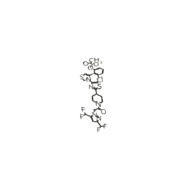 CS(=O)(=O)Oc1cccc(Cl)c1C1=CSCN1c1csc(C2CCN(C(=O)Cn3nc(C(F)F)cc3C(F)F)CC2)n1